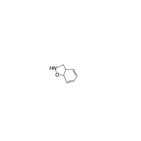 [C]1=CC=CC2ONCC12